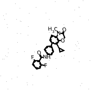 CN1C(=O)COc2c1ccc(-c1ccc(NC(=O)c3c(F)cccc3F)cc1)c2C1CC1